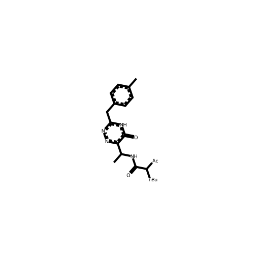 CCCCC(C(C)=O)C(=O)NC(C)c1nnc(Cc2ccc(C)cc2)[nH]c1=O